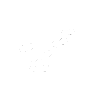 CC1(C)c2ccccc2-c2c(N(c3ccc(-c4ccc5c(ccc6c7ccccc7ccc56)c4)cc3)c3cccc(-c4cccc5ccccc45)c3)cccc21